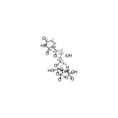 O=c1ccn([C@H]2C[C@H](O)[C@@H](C(I)OP(=O)(O)OP(=O)(O)OP(=O)(O)O)O2)c(=O)[nH]1